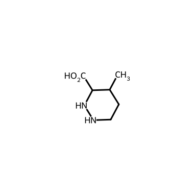 CC1CCNNC1C(=O)O